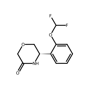 O=C1COC[C@H](c2ccccc2OC(F)F)N1